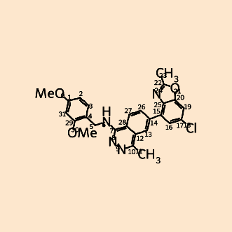 COc1ccc(CNc2nnc(C)c3cc(-c4cc(Cl)cc5oc(C)nc45)ccc23)c(OC)c1